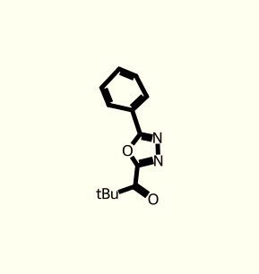 CC(C)(C)C(=O)c1nnc(-c2ccccc2)o1